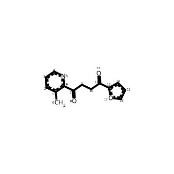 Cc1cccnc1C(=O)CCC(=O)c1ccco1